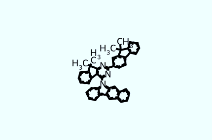 CC1(C)c2ccccc2-c2ccc(-c3nc(-n4c5ccccc5c5cc6ccccc6cc54)c4c(n3)C(C)(C)c3ccccc3-4)cc21